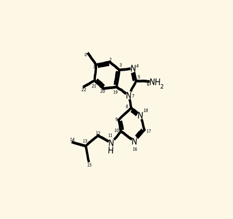 Cc1cc2nc(N)n(-c3cc(NCC(C)C)ncn3)c2cc1C